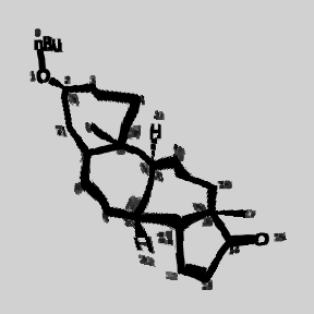 CCCCO[C@H]1CC[C@@]2(C)C(CC[C@H]3C4C=CC(=O)[C@@]4(C)CC[C@@H]32)C1